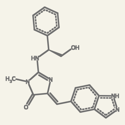 CN1C(=O)/C(=C/c2ccc3[nH]ncc3c2)N=C1N[C@H](CO)c1ccccc1